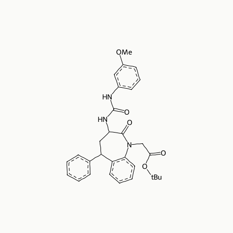 COc1cccc(NC(=O)NC2CC(c3ccccc3)c3ccccc3N(CC(=O)OC(C)(C)C)C2=O)c1